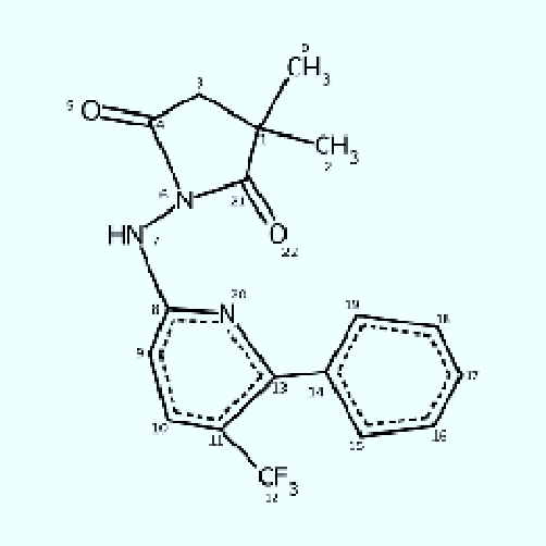 CC1(C)CC(=O)N(Nc2ccc(C(F)(F)F)c(-c3ccccc3)n2)C1=O